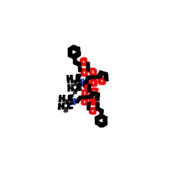 CN(C)CCC(OC(=O)C(=O)OC(CCN(C)C)(OC1COC(Cc2ccccc2)CO1)c1ccco1)(OC1COC(Cc2ccccc2)CO1)c1ccco1